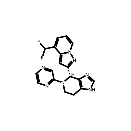 FC(F)c1cccn2nc([C@@H]3c4nc[nH]c4CCN3c3cnccn3)cc12